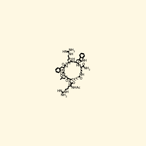 CC(=O)N[C@@H](CCCNC(=N)N)C(=O)NC1CCCC(=O)NCCC(C(N)=O)NC(=O)[C@H](Cc2c[nH]c3ccccc23)NC(=O)[C@H](CCCNC(=N)N)NC(=O)C(Cc2ccccc2)NC(=O)CN(CC(C)O)C1=O